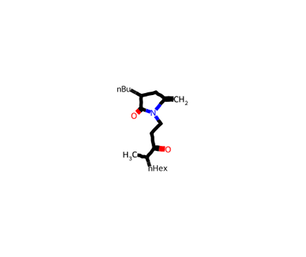 C=C1CC(CCCC)C(=O)N1CCC(=O)C(C)CCCCCC